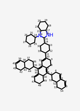 C1=CC2=CCC(C3=C4CCC(C5CCC(C6NC7CCCCC7N6C6CCCCC6)CC5)=CC4=C(C4CCC5C=CCCC5C4)C4=CCCCC43)CC2CC1